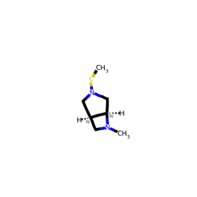 CSN1C[C@@H]2CN(C)[C@@H]2C1